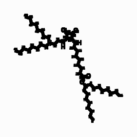 CCCCCCCCC(CCCCCCCC)OC(=O)CCCCCCCNc1c(NCCN(CCCCCCCC)CCCCCCCC)c(=O)c1=O